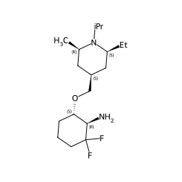 CC[C@H]1C[C@@H](CO[C@H]2CCCC(F)(F)[C@@H]2N)C[C@@H](C)N1C(C)C